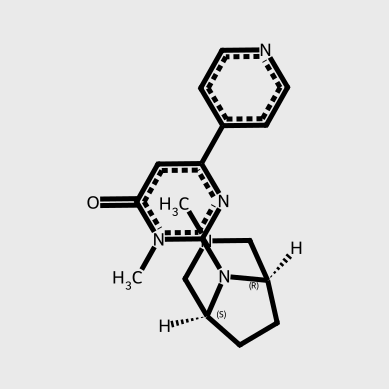 CN1C[C@H]2CC[C@@H](C1)N2c1nc(-c2ccncc2)cc(=O)n1C